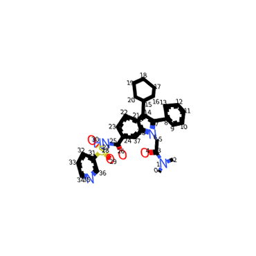 CN(C)C(=O)Cn1c(-c2ccccc2)c(C2CCCCC2)c2ccc(C(=O)NS(=O)(=O)c3cccnc3)cc21